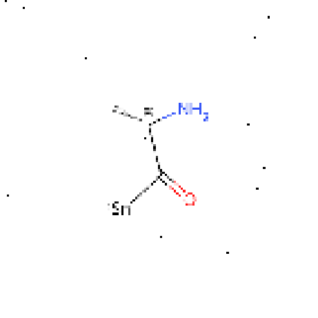 C[C@H](N)[C](=O)[Sn]